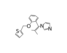 CC(C)=C(c1ccccc1OCc1cccs1)n1ccnc1